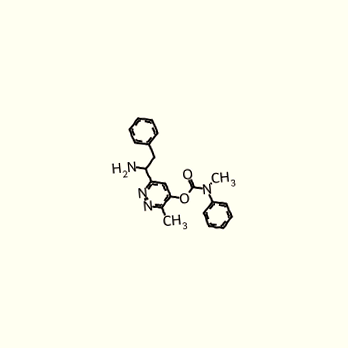 Cc1nnc(C(N)Cc2ccccc2)cc1OC(=O)N(C)c1ccccc1